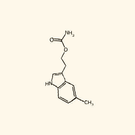 Cc1ccc2[nH]cc(CCOC(N)=O)c2c1